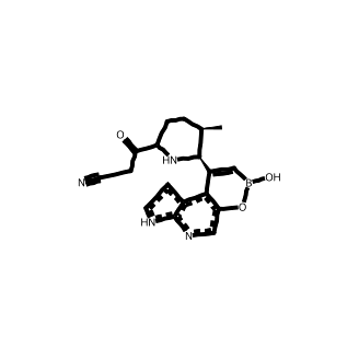 C[C@@H]1CCC(C(=O)CC#N)N[C@@H]1C1=CB(O)Oc2cnc3[nH]ccc3c21